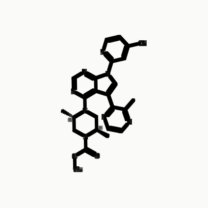 Cc1nccnc1-c1cn(-c2cc(C#N)ccn2)c2ncnc(N3C[C@@H](C)N(C(=O)OC(C)(C)C)C[C@@H]3C)c12